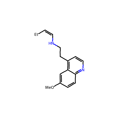 CC/C=C\NCCc1ccnc2ccc(OC)cc12